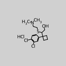 CN(C)CCSC(CO)C1(c2ccc(Cl)c(Cl)c2)CCC1.Cl